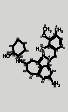 COc1c(C)cnc(Cn2nc3c4c(nc(N)nc42)SCC(N[C@H]2CCCC[C@@H]2O)C3)c1C